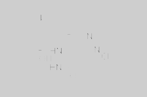 Cn1cnc2c(F)c(Nc3ccc(I)cc3F)c(C(=O)NCC3CCCC3O)cc21